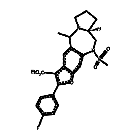 CCOC(=O)c1c(-c2ccc(F)cc2)oc2cc3c(cc12)C(C)N1CCC[C@H]1CN3S(C)(=O)=O